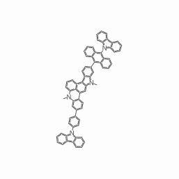 CN1c2cc(-c3ccc(-n4c5ccccc5c5ccccc54)cc3)ccc2-c2cc3c(c4cccc1c24)c1ccc(-c2c4ccccc4c(-n4c5ccccc5c5ccccc54)c4ccccc24)cc1n3C